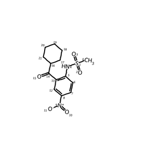 CS(=O)(=O)Nc1ccc([N+](=O)[O-])cc1C(=O)C1CCCCC1